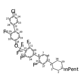 CCCCCC1CCC(c2ccc(-c3cc(F)c(C(F)(F)Oc4ccc(-c5ccc(Cl)cc5)c(F)c4)c(F)c3)c(F)c2)CC1